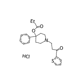 CCC(=O)OC1(c2ccccc2)CCN(CCC(=O)c2cccs2)CC1.Cl